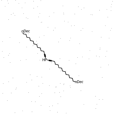 CCCCCCCCCCCCCCCCCCCCCCC#CPC#CCCCCCCCCCCCCCCCCCCCCCC